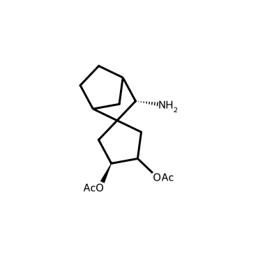 CC(=O)OC1CC2(C[C@@H]1OC(C)=O)C1CCC(C1)[C@@H]2N